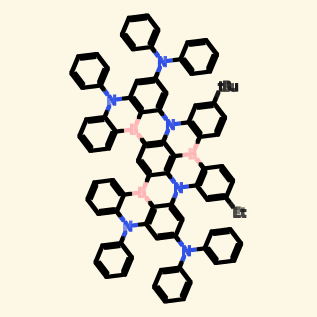 CCc1ccc2c(c1)N1c3cc(N(c4ccccc4)c4ccccc4)cc4c3B(c3ccccc3N4c3ccccc3)c3cc4c5c(c31)B2c1ccc(C(C)(C)C)cc1N5c1cc(N(c2ccccc2)c2ccccc2)cc2c1B4c1ccccc1N2c1ccccc1